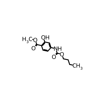 CCCCOC(=O)Nc1ccc(C(=O)OC)c(O)c1